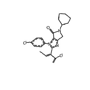 C=C(Cl)/C(=C/C)c1nc2c(n1-c1ccc(Cl)cc1)C(=O)N(C1CCCCC1)C2